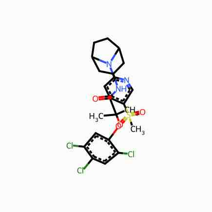 CC(C)(Oc1cc(Cl)c(Cl)cc1Cl)C(=O)NC1CC2CCC(C1)N2c1ccc(S(C)(=O)=O)cn1